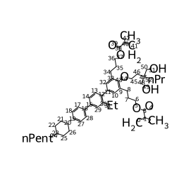 C=C(C)C(=O)OCCCc1cc(-c2ccc(-c3ccc([C@H]4CC[C@H](CCCCC)CC4)cc3)cc2CC)cc(CCCOC(=O)C(=C)C)c1OCCC(CO)(CO)CCC